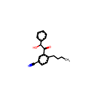 CCCCc1ccc(C#N)cc1C(=O)C(O)c1ccccc1